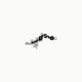 COC(=O)C(N)C[C@@H](S)C(=O)Nc1ccc(C(=O)N2CCN(CCc3ccc(Cl)cc3)CC2)cc1